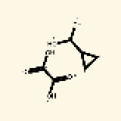 CC(O)C1CC1.O=C(O)C(=O)O